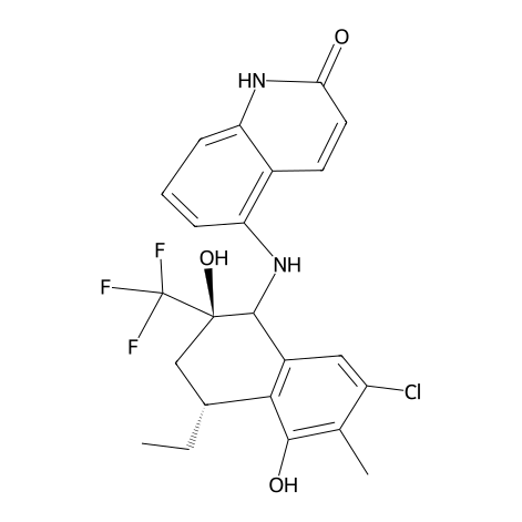 CC[C@@H]1C[C@](O)(C(F)(F)F)C(Nc2cccc3[nH]c(=O)ccc23)c2cc(Cl)c(C)c(O)c21